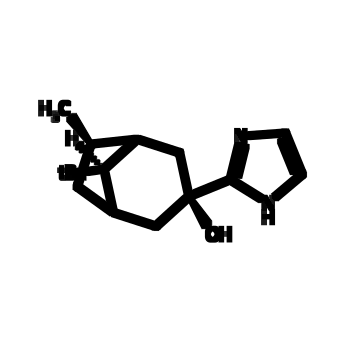 C[C@@H]1CC2C[C@@](O)(c3ncc[nH]3)CC1[C@@H]2C(C)(C)C